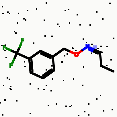 CC/[C]=N\OCc1cccc(C(F)(F)F)c1